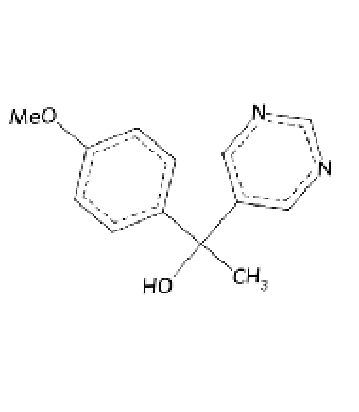 COc1ccc(C(C)(O)c2cncnc2)cc1